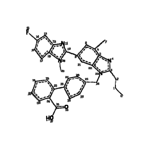 CCCc1nc2c(C)cc(-c3nc4cc(F)ccc4n3C)cc2n1Cc1ccc(-c2ccccc2C(=O)O)cc1